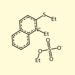 CCOS(=O)(=O)[O-].CCSc1ccc2ccccc2[n+]1CC